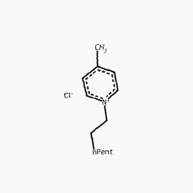 CCCCCCC[n+]1ccc(C)cc1.[Cl-]